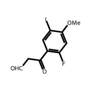 COc1cc(F)c(C(=O)CC=O)cc1I